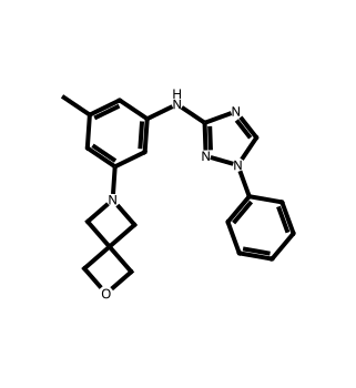 Cc1cc(Nc2ncn(-c3ccccc3)n2)cc(N2CC3(COC3)C2)c1